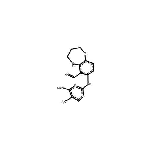 CNc1nc(Nc2ccc3c(c2C=N)NCCCO3)ncc1C(F)(F)F